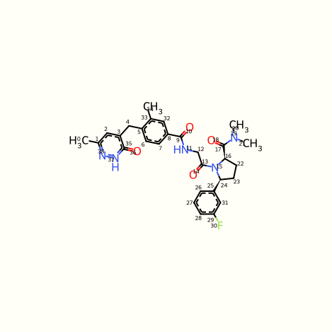 Cc1cc(Cc2ccc(C(=O)NCC(=O)N3[C@@H](C(=O)N(C)C)CC[C@H]3c3cccc(F)c3)cc2C)c(=O)[nH]n1